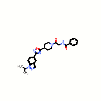 CC(C)n1ncc2cc(-c3noc(C4CCN(C(=O)CNC(=O)c5ccccc5)CC4)n3)ccc21